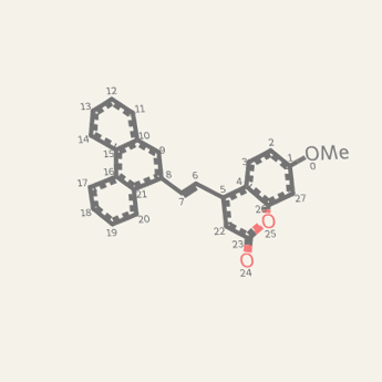 COc1ccc2c(C=Cc3cc4ccccc4c4ccccc34)cc(=O)oc2c1